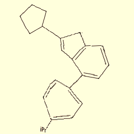 CC(C)c1ccc(-c2cccc3c2C=C(C2CCCC2)[CH]3)cc1